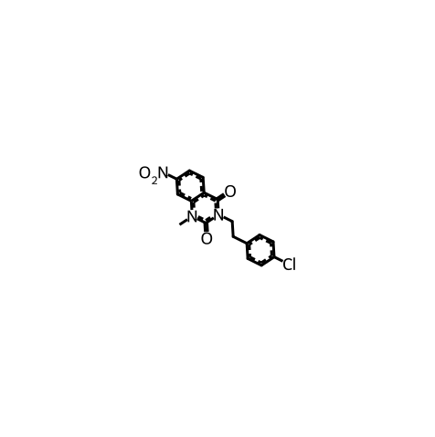 Cn1c(=O)n(CCc2ccc(Cl)cc2)c(=O)c2ccc([N+](=O)[O-])cc21